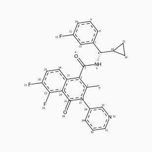 Cc1c(C(=O)N[C@H](c2cccc(F)c2)C2CC2)c2ccc(F)c(F)c2c(=O)n1-c1cccnc1